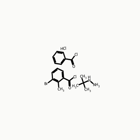 CC(C)(C)NN.Cc1c(Br)cccc1C(=O)Cl.Cl.O=C(Cl)c1ccccc1